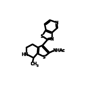 CC(=O)Nc1sc2c(c1-c1nc3cnccc3s1)CCNC2C